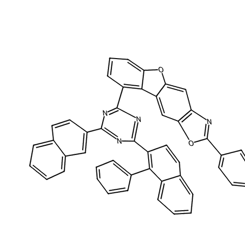 c1ccc(-c2nc3cc4oc5cccc(-c6nc(-c7ccc8ccccc8c7)nc(-c7ccc8ccccc8c7-c7ccccc7)n6)c5c4cc3o2)cc1